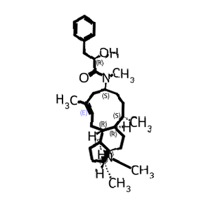 C/C1=C\C[C@@H]2[C@H](CC[C@]34CN(C)[C@@H](C)[C@H]3CC[C@@H]24)[C@@H](C)CC[C@H](N(C)C(=O)[C@H](O)Cc2ccccc2)C1